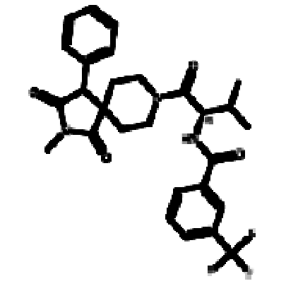 CC(C)[C@@H](NC(=O)c1cccc(C(F)(F)F)c1)C(=O)N1CCC2(CC1)C(=O)N(C)C(=O)C2c1ccccc1